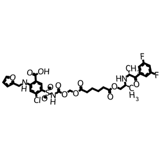 C[C@@H](COC(=O)CCCCC(=O)OCOC(=O)NS(=O)(=O)c1cc(C(=O)O)c(NCc2ccco2)cc1Cl)N[C@H](C)C(=O)c1cc(F)cc(F)c1